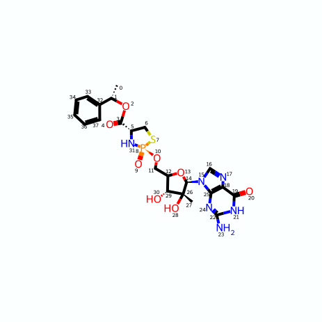 C[C@H](OC(=O)[C@@H]1CS[P@@](=O)(OCC2O[C@@H](n3cnc4c(=O)[nH]c(N)nc43)[C@](C)(O)[C@@H]2O)N1)c1ccccc1